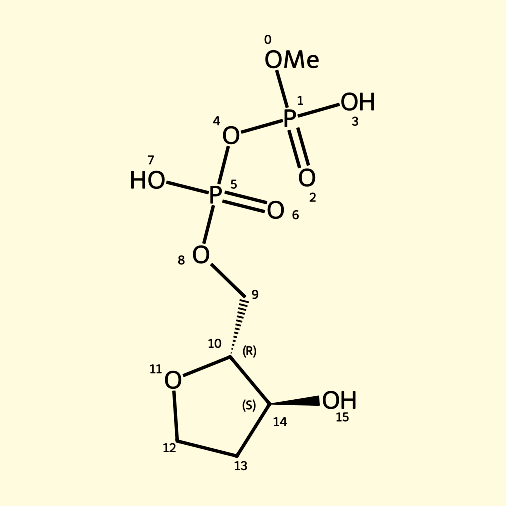 COP(=O)(O)OP(=O)(O)OC[C@H]1OCC[C@@H]1O